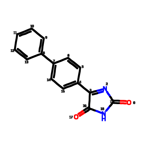 O=C1N=C(c2ccc(-c3ccccc3)cc2)C(=O)N1